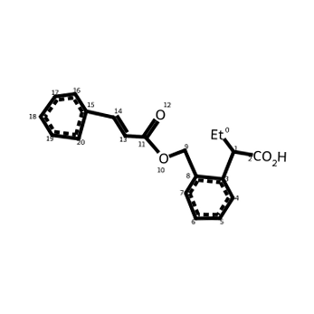 CCC(C(=O)O)c1ccccc1COC(=O)/C=C/c1ccccc1